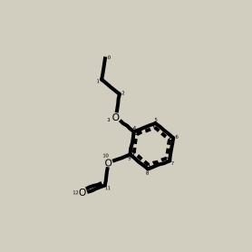 CCCOc1ccccc1OC=O